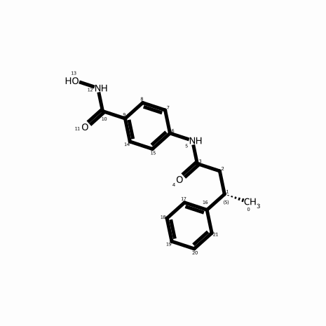 C[C@@H](CC(=O)Nc1ccc(C(=O)NO)cc1)c1ccccc1